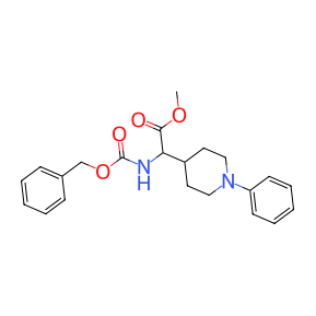 COC(=O)C(NC(=O)OCc1ccccc1)C1CCN(c2ccccc2)CC1